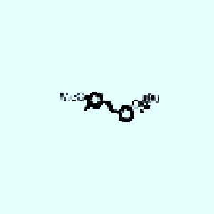 COc1ccc(C=Cc2cccc(O[Si](C)(C)C(C)(C)C)c2)cc1C